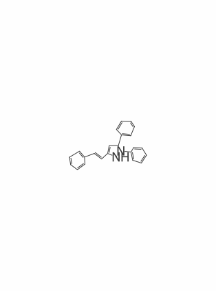 C(=Cc1ccccc1)C1=CC(c2ccccc2)N(c2ccccc2)N1